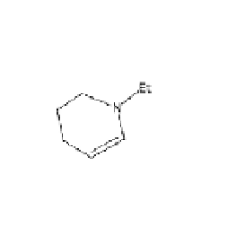 CCN1C=CCCC1